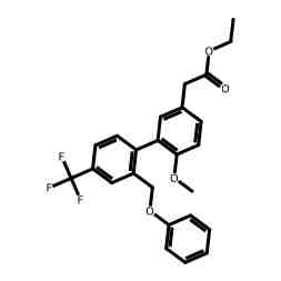 CCOC(=O)Cc1ccc(OC)c(-c2ccc(C(F)(F)F)cc2COc2ccccc2)c1